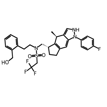 C[C@H]1C2=CNN(c3ccc(F)cc3)C2=CC2=C1[C@@H](CN(CCc1ccccc1CO)S(=O)(=O)CC(F)(F)F)CC2